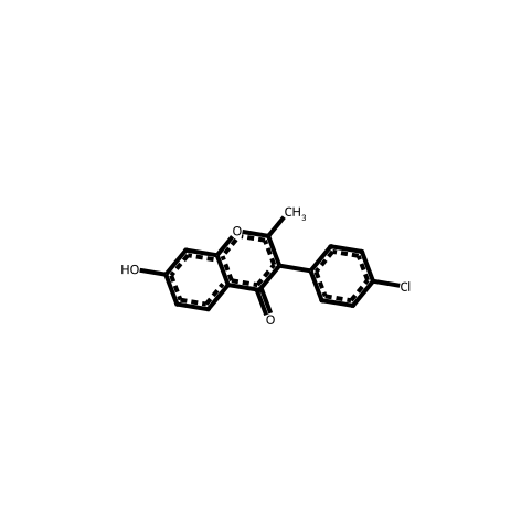 Cc1oc2cc(O)ccc2c(=O)c1-c1ccc(Cl)cc1